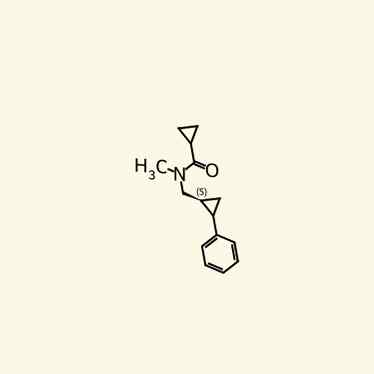 CN(C[C@H]1CC1c1ccccc1)C(=O)C1CC1